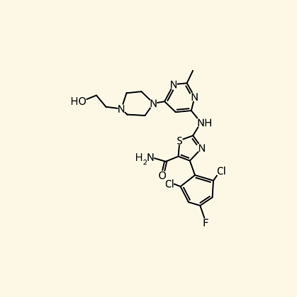 Cc1nc(Nc2nc(-c3c(Cl)cc(F)cc3Cl)c(C(N)=O)s2)cc(N2CCN(CCO)CC2)n1